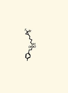 Cc1ccc(CCS(=O)(=O)NCCCCC2CC2(F)Br)cc1